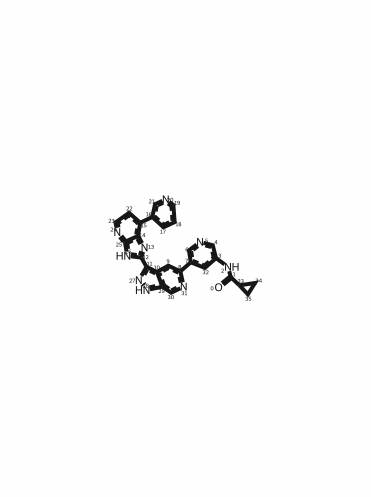 O=C(Nc1cncc(-c2cc3c(-c4nc5c(-c6cccnc6)ccnc5[nH]4)n[nH]c3cn2)c1)C1CC1